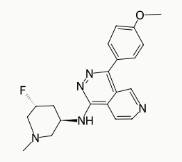 COc1ccc(-c2nnc(N[C@@H]3C[C@@H](F)CN(C)C3)c3ccncc23)cc1